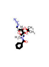 CN(C[C@]12CO[C@H](CN=[N+]=[N-])[C@H]1OC(C)(C)O2)C(=O)c1ccccc1